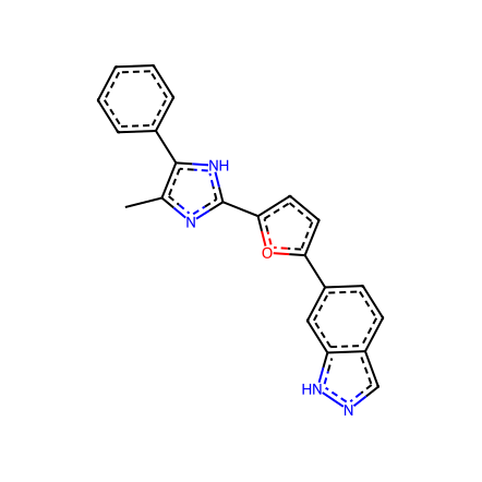 Cc1nc(-c2ccc(-c3ccc4cn[nH]c4c3)o2)[nH]c1-c1ccccc1